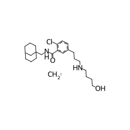 O=C(NCC12CCCC(CCC1)C2)c1cc(CCCNCCCCO)ccc1Cl.[CH2]